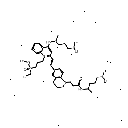 CCOP(=O)(CCC[n+]1c(C=Cc2ccc3c(c2)CCCN3CCC(=O)NC(C)CCCN(CC)CC)cc(NC(C)CCCN(CC)CC)c2ccccc21)OCC